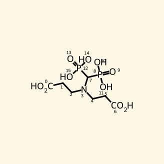 O=C(O)CCN(CCC(=O)O)C(P(=O)(O)O)P(=O)(O)O